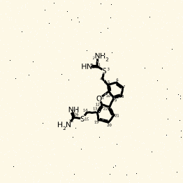 N=C(N)SCc1cccc2c1oc1c(CSC(=N)N)cccc12